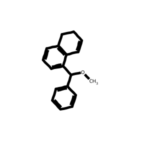 COC(c1ccccc1)c1cccc2c1C=CCC2